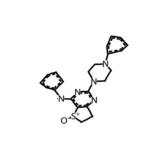 [O-][S+]1CCc2nc(N3CCN(c4ccccc4)CC3)nc([N]c3ccccc3)c21